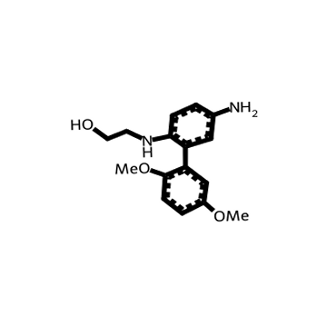 COc1ccc(OC)c(-c2cc(N)ccc2NCCO)c1